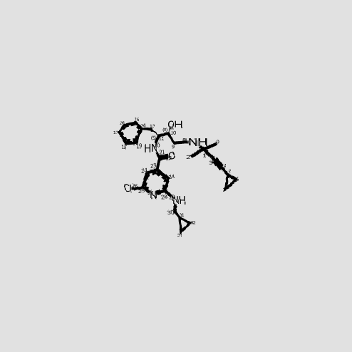 CC(C)(C#CC1CC1)NC[C@@H](O)[C@H](Cc1ccccc1)NC(=O)c1cc(Cl)nc(NCC2CC2)c1